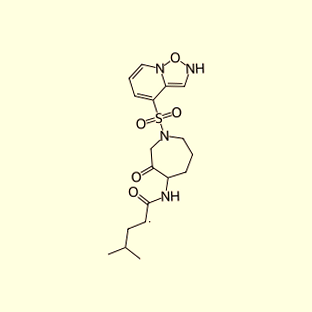 CC(C)C[CH]C(=O)NC1CCCN(S(=O)(=O)C2=CC=CN3ONC=C23)CC1=O